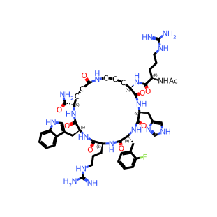 CC(=O)N[C@H](CCCNC(=N)N)C(=O)N[C@H]1CCCNC(=O)CC[C@@H](C(N)=O)NC(=O)[C@H](Cc2c[nH]c3ccccc23)NC(=O)[C@H](CCCNC(=N)N)NC(=O)[C@@H](Cc2ccccc2F)NC(=O)[C@H](Cc2c[nH]cn2)NC1=O